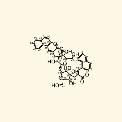 O=c1oc2ccc3ccccc3c2cc1C[C@]1(O)[C@@H](O)[C@@H](CO)O[C@@H](S[C@@H]2O[C@H](CO)[C@H](O)[C@@](O)(Cc3cc4c(ccc5ccccc54)oc3=O)[C@H]2O)[C@@H]1O